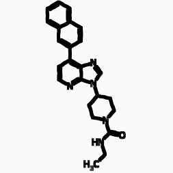 CCNC(=O)N1CCC(n2cnc3c(-c4ccc5ccccc5c4)ccnc32)CC1